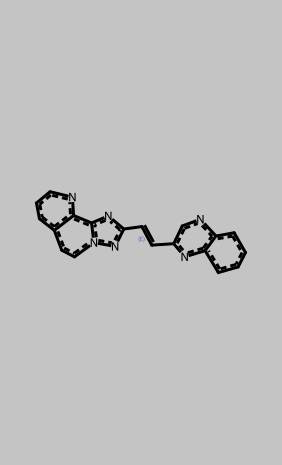 C(=C\c1nc2c3ncccc3ccn2n1)/c1cnc2ccccc2n1